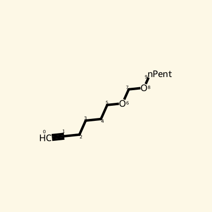 C#CCCCCOCOCCCCC